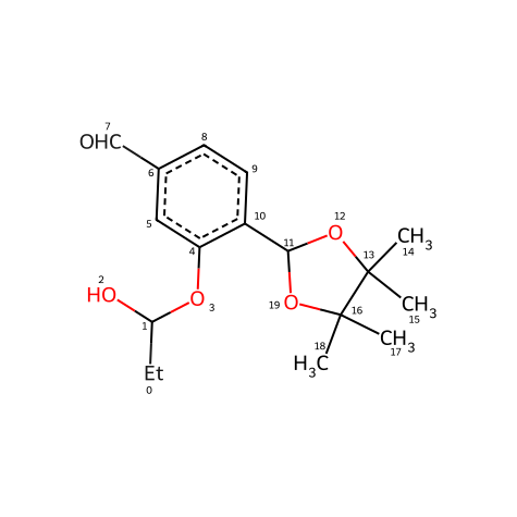 CCC(O)Oc1cc(C=O)ccc1C1OC(C)(C)C(C)(C)O1